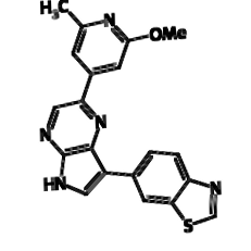 COc1cc(-c2cnc3[nH]cc(-c4ccc5ncsc5c4)c3n2)cc(C)n1